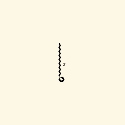 CCCCCCCCCCCCCCCCC[n+]1ccccc1.[Cl-]